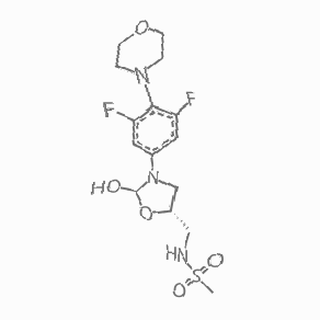 CS(=O)(=O)NC[C@H]1CN(c2cc(F)c(N3CCOCC3)c(F)c2)C(O)O1